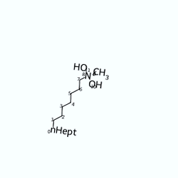 CCCCCCCCCCCCCC[N+](C)(O)O